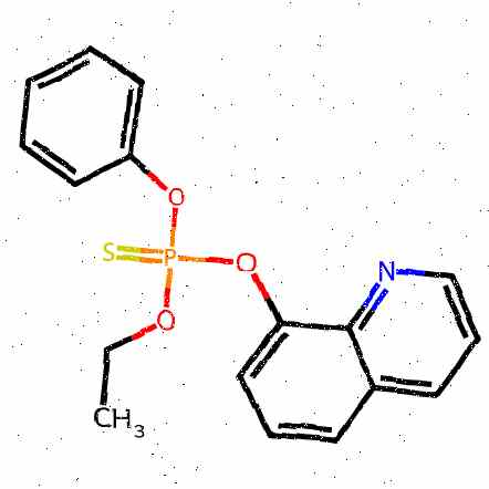 CCOP(=S)(Oc1ccccc1)Oc1cccc2cccnc12